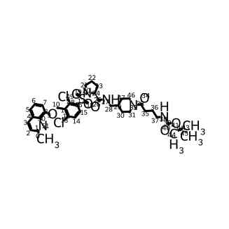 Cc1ccc2cccc(OCc3c(Cl)ccc(S(=O)(=O)N4CCC[C@H]4C(=O)NCC4CCN(C(=O)CCCNC(=O)OC(C)(C)C)CC4)c3Cl)c2n1